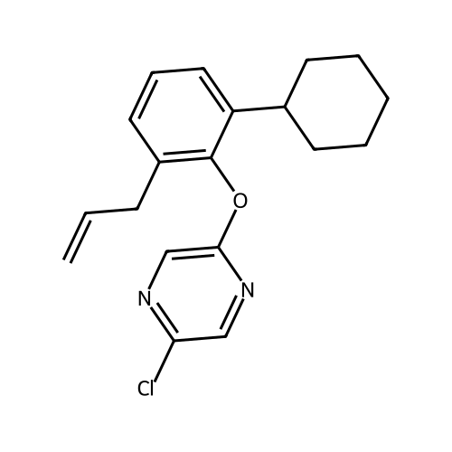 C=CCc1cccc(C2CCCCC2)c1Oc1cnc(Cl)cn1